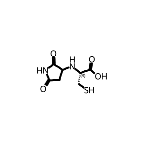 O=C1CC(N[C@@H](CS)C(=O)O)C(=O)N1